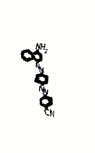 N#Cc1ccc(/N=N/c2ccc(/N=N/c3ccc(N)c4ccccc34)cc2)cc1